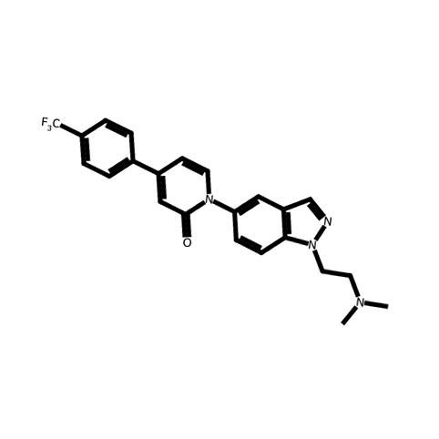 CN(C)CCn1ncc2cc(-n3ccc(-c4ccc(C(F)(F)F)cc4)cc3=O)ccc21